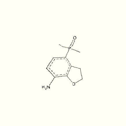 CP(C)(=O)c1ccc(N)c2c1CCO2